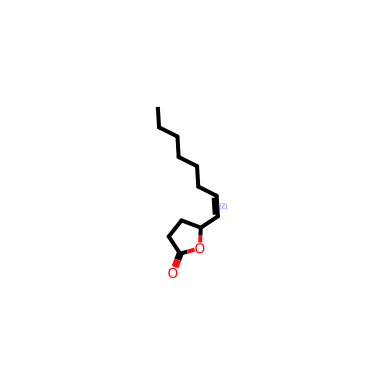 CCCCCC/C=C\C1CCC(=O)O1